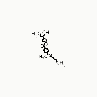 CCCCCCOC(C)c1ccc(C(=O)Oc2ccc(C(CC)CCC)cc2)cc1